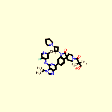 Cc1cc(Nc2nc(-c3ccc4c(c3)N([C@H]3C[C@@H](N5CCCCC5)C3)C(=O)C43CCN(C(=O)C(C)(C)CO)CC3)cc3ncn(C(C)C)c23)c(F)cn1